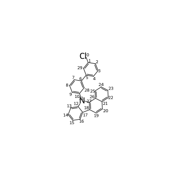 Clc1cccc(-c2cccc(-n3c4ccccc4c4ccc5ccccc5c43)c2)c1